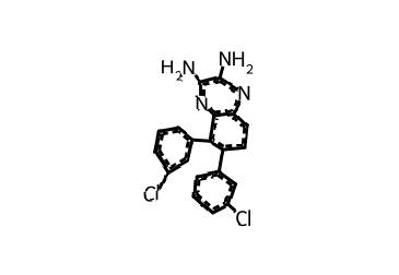 Nc1nc2ccc(-c3cccc(Cl)c3)c(-c3cccc(Cl)c3)c2nc1N